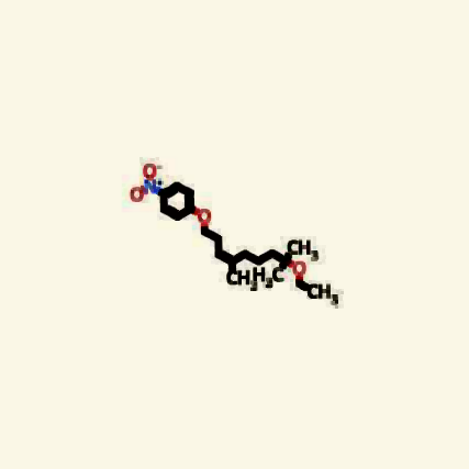 CCOC(C)(C)CCCC(C)=CCCOc1ccc([N+](=O)[O-])cc1